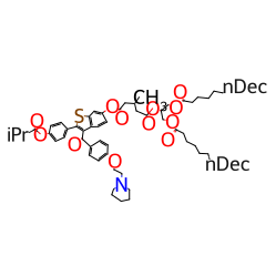 CCCCCCCCCCCCCCCC(=O)OCC(COC(=O)CCCCCCCCCCCCCCC)OC(=O)CC(C)CC(=O)Oc1ccc2c(C(=O)c3ccc(OCCN4CCCCC4)cc3)c(-c3ccc(OC(=O)C(C)C)cc3)sc2c1